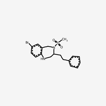 CS(=O)(=O)N1Cc2cc(Br)ccc2NCC1CCc1ccccc1